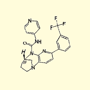 O=C(Nc1ccncc1)N1c2nc(-c3cccc(C(F)(F)F)c3)ccc2N2CC[C@H]1C2